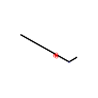 CCCCCCCC/C=C\CCCCCCCCCCCC(=O)OC(=O)CCCCCCCCCCCCCCCCCCCCCCCCCCCCCCCCCCCCC